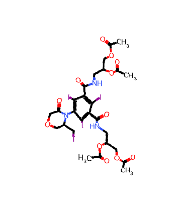 CC(=O)OCC(CNC(=O)c1c(I)c(C(=O)NCC(COC(C)=O)OC(C)=O)c(I)c(N2C(=O)COCC2CI)c1I)OC(C)=O